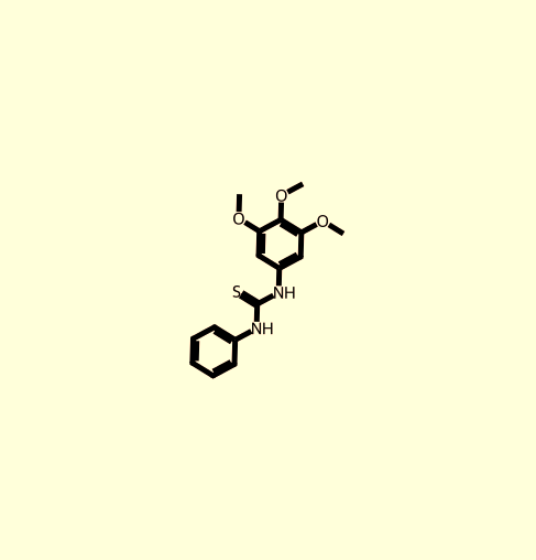 COc1cc(NC(=S)Nc2ccccc2)cc(OC)c1OC